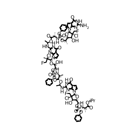 CC(C)OC(=O)[C@H](C)NP(=O)(Oc1ccccc1)O[C@@H](C)[C@H]1O[C@@H](n2ccc3c(=O)[nH]c(NC(C)OC(=O)[C@H](C)N[P@@](=O)(Oc4ccccc4)O[C@@H](C)[C@H](O)O[C@@H](n4ccc5c(=O)[nH]c(NC(C)OC(=O)[C@H](C)N[P@](=O)(Oc6ccccc6)O[C@@H](C)[C@H]6O[C@@H](n7ccc8c(=O)[nH]c(N)nc87)[C@@](Cl)(CF)C6O)nc54)[C@@](C)(Cl)CF)nc32)[C@@](Cl)(CF)C1O